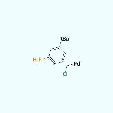 CC(C)(C)c1cccc(P)c1.Cl[CH2][Pd]